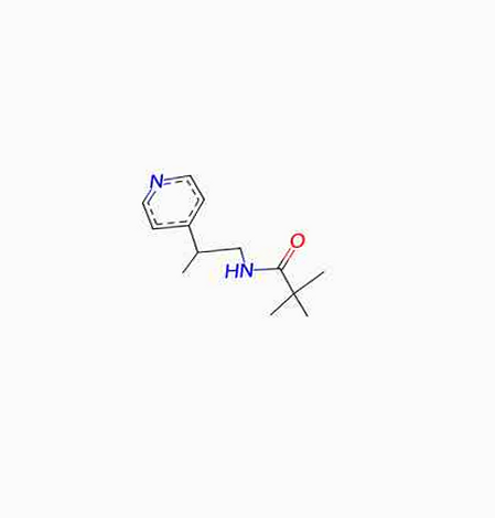 CC(CNC(=O)C(C)(C)C)c1ccncc1